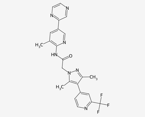 Cc1cc(-c2cnccn2)cnc1NC(=O)Cn1nc(C)c(-c2ccnc(C(F)(F)F)c2)c1C